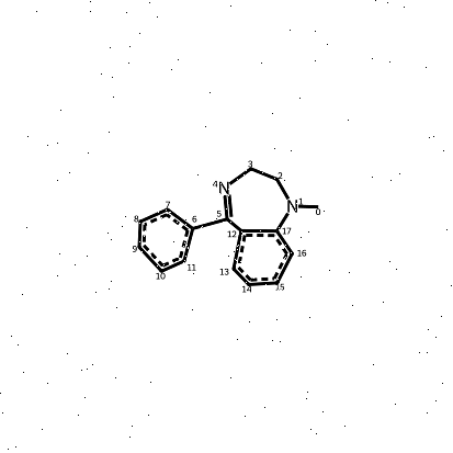 CN1CCN=C(c2ccccc2)c2ccccc21